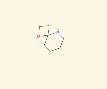 C1CCC2(CCO2)NC1